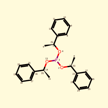 C[C@H](OP(O[C@@H](C)c1ccccc1)O[C@@H](C)c1ccccc1)c1ccccc1